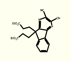 CCOC(=O)CCC1(CCC(=O)OCC)c2ccccc2-c2nc(C#N)c(C#N)nc21